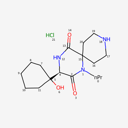 CCCN1C(=O)[C@@H](C2(O)CCCCC2)NC(=O)C12CCNCC2.Cl